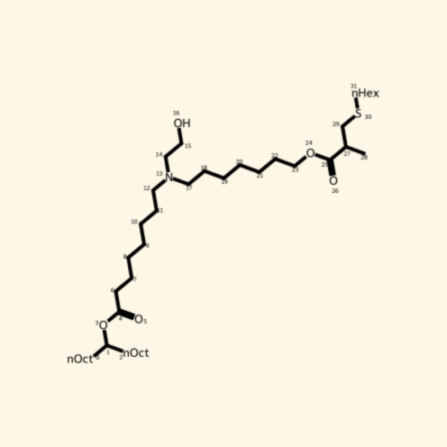 CCCCCCCCC(CCCCCCCC)OC(=O)CCCCCCCN(CCO)CCCCCCCOC(=O)C(C)CSCCCCCC